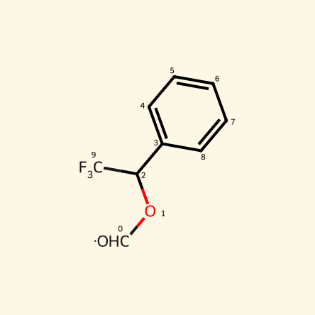 O=[C]OC(c1ccccc1)C(F)(F)F